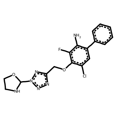 Nc1c(-c2ccccc2)cc(Cl)c(OCc2nnn(C3NCCO3)n2)c1F